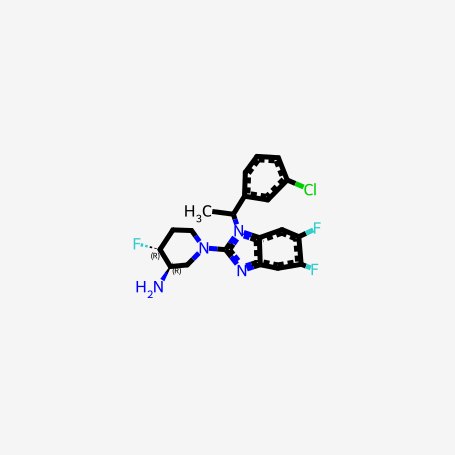 CC(c1cccc(Cl)c1)n1c(N2CC[C@@H](F)[C@H](N)C2)nc2cc(F)c(F)cc21